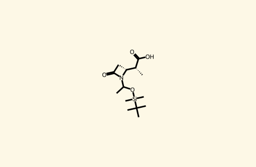 CC(O[Si](C)(C)C(C)(C)C)N1C(=O)C[C@@H]1[C@@H](C)C(=O)O